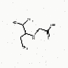 CCC(NCC(=O)O)C(C)O